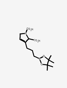 CC1(C)OB(CCCC2=CCN(C(=O)O)C2C(=O)O)OC1(C)C